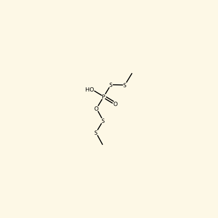 CSSOP(=O)(O)SSC